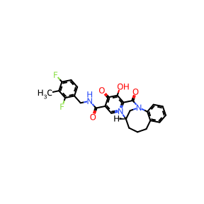 Cc1c(F)ccc(CNC(=O)c2cn3c(c(O)c2=O)C(=O)N2C[C@@H]3CCCc3ccccc32)c1F